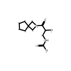 CCC(=O)NCC(CC)C(=O)N1CC2(CCCC2)C1